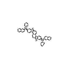 c1ccc(N(c2ccc3ccccc3c2)c2ccc3c(c2)sc2ccc4c(ccc5sc6cc(N(c7ccccc7)c7ccc8ccccc8c7)ccc6c54)c23)cc1